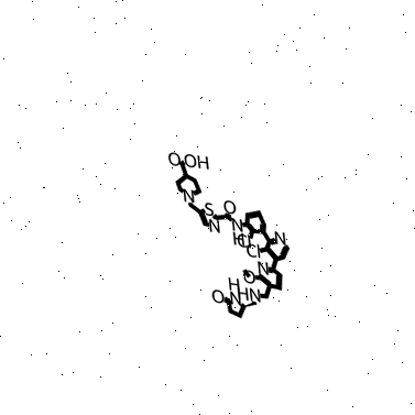 COc1nc(-c2ccnc(-c3cccc(NC(=O)c4ncc(CN5CCC(C(=O)O)CC5)s4)c3Cl)c2Cl)ccc1CNC[C@H]1CCC(=O)N1